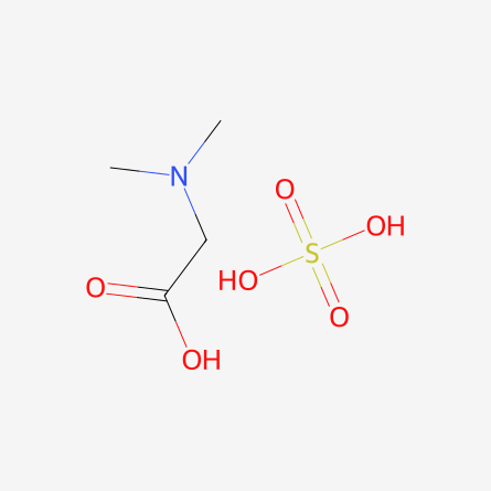 CN(C)CC(=O)O.O=S(=O)(O)O